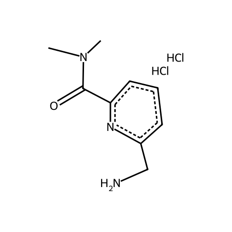 CN(C)C(=O)c1cccc(CN)n1.Cl.Cl